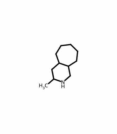 CC1CC2CCCCCC2CN1